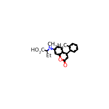 CC[C@@H](C(=O)O)N(C)c1ccc2c(-c3ccccc3C)cc(=O)oc2c1